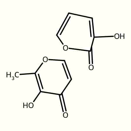 Cc1occc(=O)c1O.O=c1occcc1O